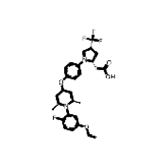 CCOc1ccc(F)c(N2[C@H](C)CC(Oc3ccc(N4C[C@H](C(F)(F)F)C[C@@H]4CC(=O)O)cc3)C[C@@H]2C)c1